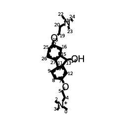 C[N+](C)(C)CCOc1ccc2c(c1)C(O)c1cc(OCC[N+](C)(C)C)ccc1-2